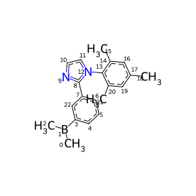 CB(C)c1cccc(-c2nccn2-c2c(C)cc(C)cc2C)c1